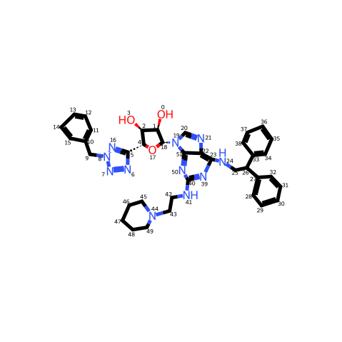 O[C@@H]1[C@H](O)[C@@H](c2nnn(Cc3ccccc3)n2)O[C@H]1n1cnc2c(NCC(c3ccccc3)c3ccccc3)nc(NCCN3CCCCC3)nc21